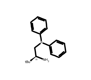 CC(C)(C)[C@H](N)CP(c1ccccc1)c1ccccc1